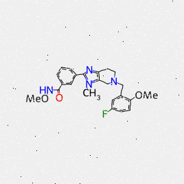 CONC(=O)c1cccc(-c2nc3c(n2C)CN(Cc2cc(F)ccc2OC)CC3)c1